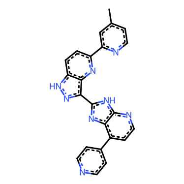 Cc1ccnc(-c2ccc3[nH]nc(-c4nc5c(-c6ccncc6)ccnc5[nH]4)c3n2)c1